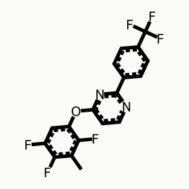 Cc1c(F)c(F)cc(Oc2ccnc(-c3ccc(C(F)(F)F)cc3)n2)c1F